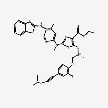 CCOC(=O)c1nc(N(C)c2cc(C)c(Nc3nc4ccccc4s3)nn2)sc1C[C@H](C)COc1ccc(C#CCN(C)C)cc1F